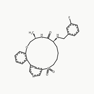 C[C@@H]1COc2ccccc2-c2cncc(c2)S(=O)(=O)CCCC[C@H](NCc2cccc(F)c2)C(=O)N1